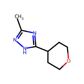 Cc1n[nH]c(C2CCOCC2)n1